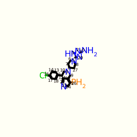 Nc1n[nH]c(N2CCC(N(CCc3ccc(Cl)cc3)Cc3ccncc3P)CC2)n1